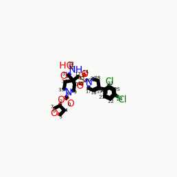 O=C(OC1CCOC1)N1CCC(CS(=O)(=O)N2CC=C(c3ccc(Cl)cc3Cl)CC2)(C(=O)NO)CC1